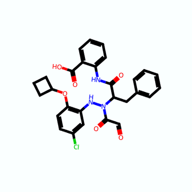 O=CC(=O)N(Nc1cc(Cl)ccc1OC1CCC1)C(Cc1ccccc1)C(=O)Nc1ccccc1C(=O)O